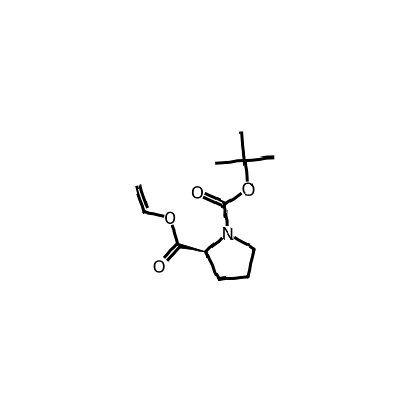 C=COC(=O)[C@@H]1CCCN1C(=O)OC(C)(C)C